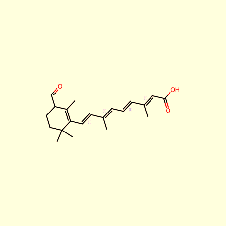 CC1=C(/C=C/C(C)=C/C=C/C(C)=C/C(=O)O)C(C)(C)CCC1C=O